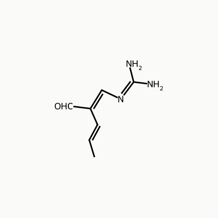 C/C=C/C(C=O)=C\N=C(N)N